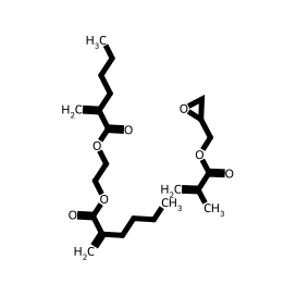 C=C(C)C(=O)OCC1CO1.C=C(CCCC)C(=O)OCCOC(=O)C(=C)CCCC